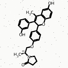 CC1=C(c2cccc(O)c2)C(c2ccc(OC[C@H](C)N3CCCC3=O)cc2)Oc2ccc(O)cc21